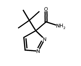 CC(C)(C)C1(C(N)=O)C=CN=N1